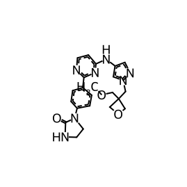 COCC1(Cn2cc(Nc3ccnc(-c4ccc(N5CCNC5=O)cc4)n3)cn2)COC1